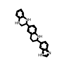 c1ccc2c(c1)NCC(c1ccc3c(c1)CCC(c1ccc4nc[nH]c4c1)N3)N2